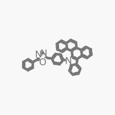 c1ccc(-c2nnc(-c3ccc(-n4c5ccccc5c5c6ccccc6c6ccc7ccccc7c6c54)cc3)o2)cc1